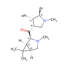 CCC[C@H]1[C@@H](C(=O)[C@@H]2[C@H]3[C@@H](CN2C)C3(C)C)CN(C)[C@@H]1C(C)=O